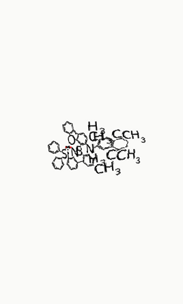 Cc1cc2c3c(c1)N(c1cc4c(cc1C)C(C)(C)CCC4(C)C)c1ccc4c(oc5ccccc54)c1B3N1c3ccccc3[Si](c3ccccc3)(c3ccccc3)c3cccc-2c31